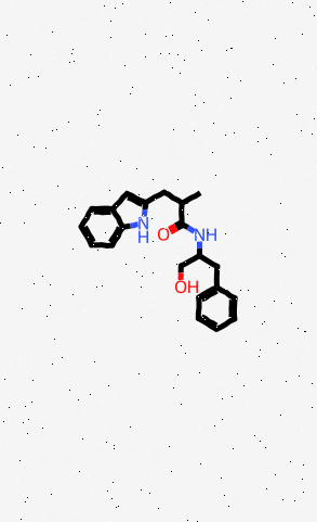 C[C](Cc1cc2ccccc2[nH]1)C(=O)NC(CO)Cc1ccccc1